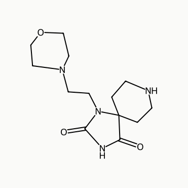 O=C1NC(=O)C2(CCNCC2)N1CCN1CCOCC1